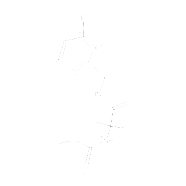 CC(C)(C)OC(=O)NC(C)(C)C(=O)NCc1cccc(F)n1